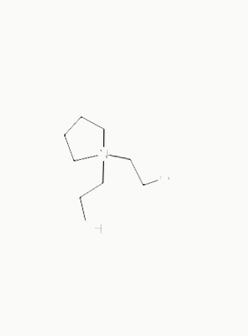 OCC[N+]1(CCO)CCCC1